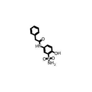 NS(=O)(=O)c1cc(NC(=O)Cc2ccccc2)ccc1O